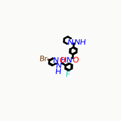 N=C(c1ccc(C(=O)Nc2ccc(F)cc2C(=O)Nc2ccc(Br)cn2)cc1)N1CCCCC1